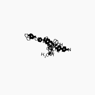 CNc1nc(C)c(S(=O)(=O)N2Cc3cc4c(cc3C[C@H]2C(=O)N[C@@H](Cc2ccc(-c3ccc(C#N)cc3)cc2)C(=O)O)OC[C@H](c2ccc(OCc3ccc(Cl)c(Cl)c3)cc2)O4)s1